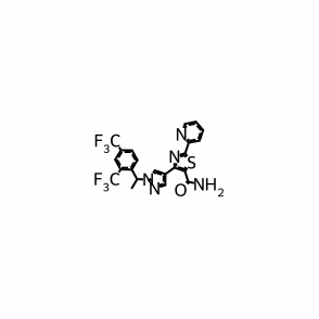 CC(c1ccc(C(F)(F)F)cc1C(F)(F)F)n1cc(-c2nc(-c3ccccn3)sc2C(N)=O)cn1